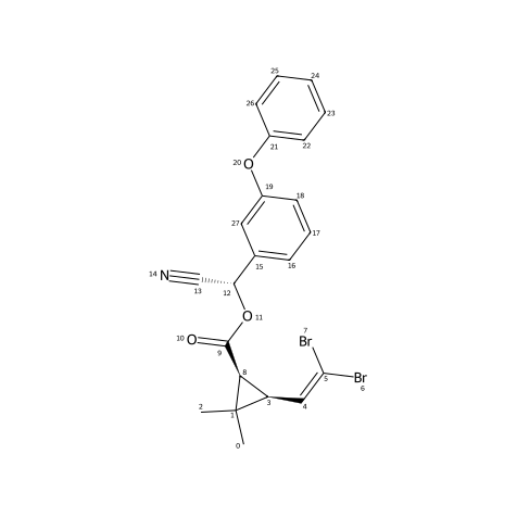 CC1(C)[C@H](C=C(Br)Br)[C@@H]1C(=O)O[C@H](C#N)c1cccc(Oc2ccccc2)c1